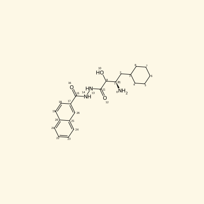 N[C@H](CC1CCCCC1)C(O)C(=O)NNC(=O)c1ccc2ccccc2c1